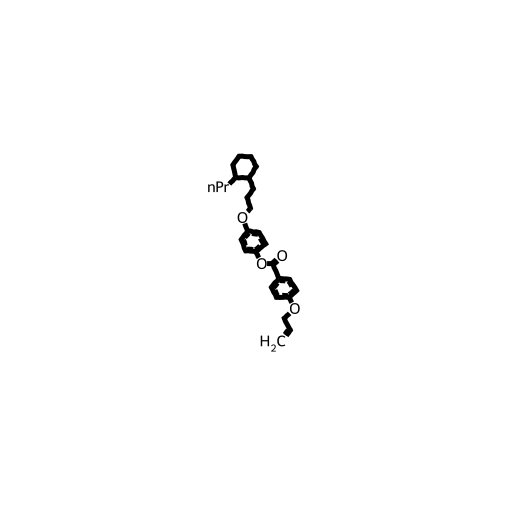 C=CCOc1ccc(C(=O)Oc2ccc(OCCCC3CCCCC3CCC)cc2)cc1